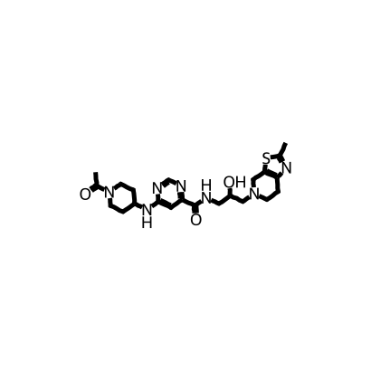 CC(=O)N1CCC(Nc2cc(C(=O)NCC(O)CN3CCc4nc(C)sc4C3)ncn2)CC1